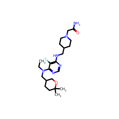 CCN(CC1CCC(C)(C)OC1)c1ncnc(NCC2CCN(CC(N)=O)CC2)c1F